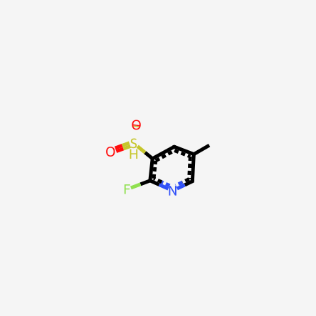 Cc1cnc(F)c([SH](=O)=O)c1